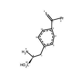 CC(C)C(=S)c1ccc(C[C@H](N)C(=O)O)cc1